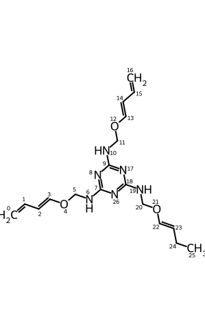 C=CC=COCNc1nc(NCOC=CC=C)nc(NCOC=CCC)n1